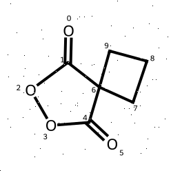 O=C1OOC(=O)C12CCC2